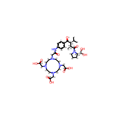 CC(C)[C@H](C(=O)c1ccc(NC(=O)CN2CCN(CC(=O)O)CCN(CC(=O)O)CCN(CC(=O)O)CC2)cc1)[C@H](C)C(=O)N1CCC[C@H]1B(O)O